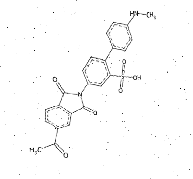 CNc1ccc(-c2ccc(N3C(=O)c4ccc(C(C)=O)cc4C3=O)cc2S(=O)(=O)O)cc1